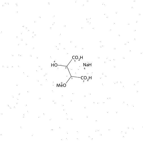 COC(C(=O)O)C(O)C(=O)O.[NaH]